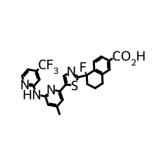 Cc1cc(Nc2cc(C(F)(F)F)ccn2)nc(-c2cnc([C@@]3(F)CCCc4cc(C(=O)O)ccc43)s2)c1